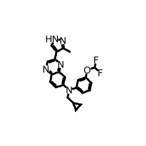 Cc1n[nH]cc1-c1cnc2ccc(N(CC3CC3)c3cccc(OC(F)F)c3)cc2n1